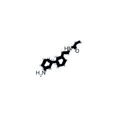 CCC(=O)NC=Cc1cccc(-c2cccc(N)c2)c1